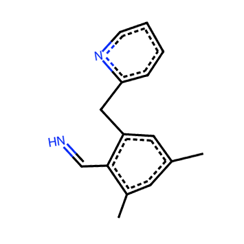 Cc1cc(C)c(C=N)c(Cc2ccccn2)c1